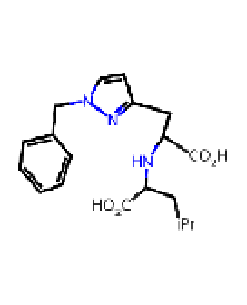 CC(C)CC(NC(Cc1ccn(Cc2ccccc2)n1)C(=O)O)C(=O)O